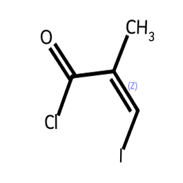 C/C(=C/I)C(=O)Cl